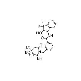 CCC1(CC)CC(=O)N(Cc2cccc(C(=O)N[C@@H]3c4ccccc4C(F)(F)C3O)c2)C(=N)N1